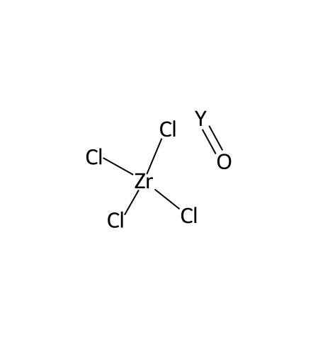 [Cl][Zr]([Cl])([Cl])[Cl].[O]=[Y]